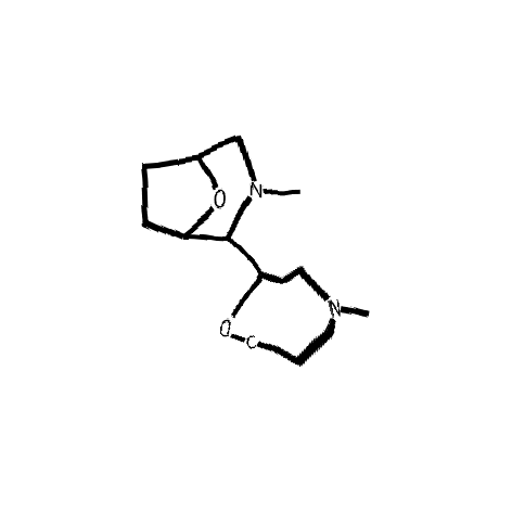 CN1CCOC(C2C3CCC(CN2C)O3)C1